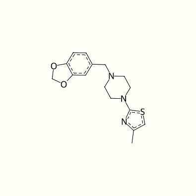 Cc1csc(N2CCN(Cc3ccc4c(c3)OCO4)CC2)n1